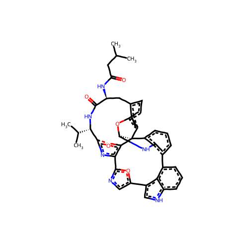 CC(C)CC(=O)N[C@H]1Cc2ccc3c(c2)[C@]24c5cccc(c5NC2O3)-c2cccc3[nH]cc(c23)-c2cnc(o2)-c2nc(oc24)[C@H](C(C)C)NC1=O